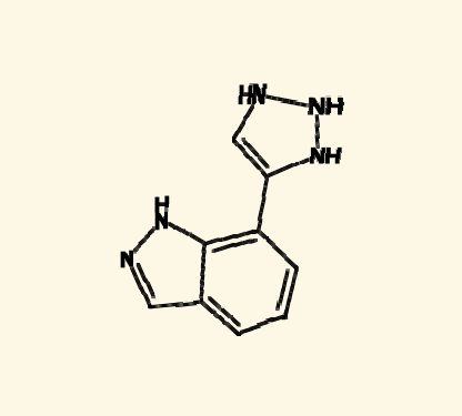 C1=C(c2cccc3cn[nH]c23)NNN1